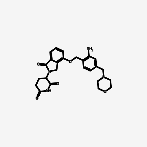 Bc1cc(CN2CCOCC2)ccc1COc1cccc2c1CN(C1CCC(=O)NC1=O)C2=O